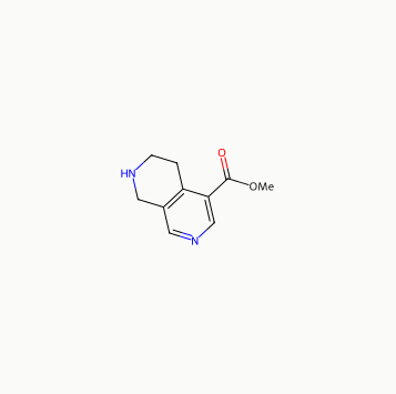 COC(=O)c1cncc2c1CCNC2